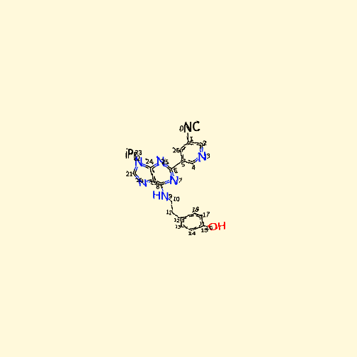 [C-]#[N+]c1cncc(-c2nc(NCCc3ccc(O)cc3)c3ncn(C(C)C)c3n2)c1